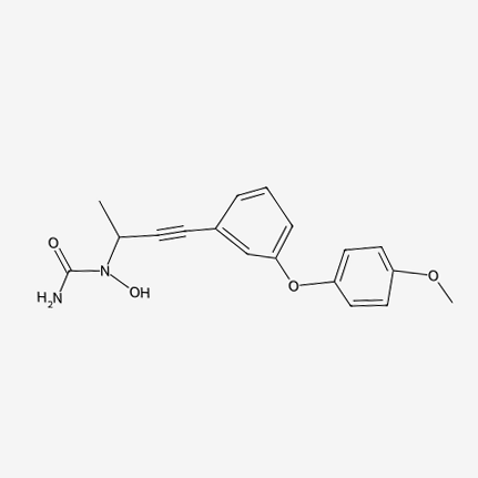 COc1ccc(Oc2cccc(C#CC(C)N(O)C(N)=O)c2)cc1